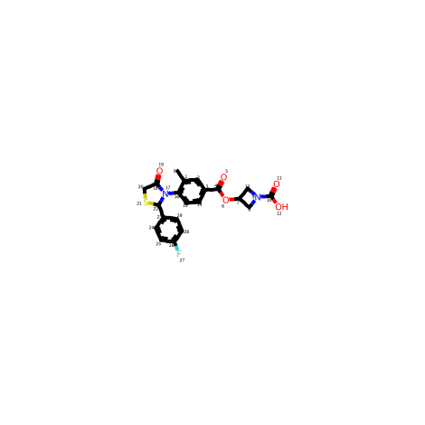 Cc1cc(C(=O)OC2CN(C(=O)O)C2)ccc1N1C(=O)CSC1c1ccc(F)cc1